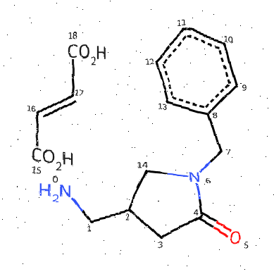 NCC1CC(=O)N(Cc2ccccc2)C1.O=C(O)/C=C/C(=O)O